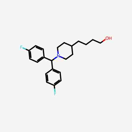 OCCCCC1CCN(C(c2ccc(F)cc2)c2ccc(F)cc2)CC1